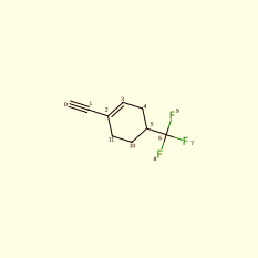 C#CC1=CCC(C(F)(F)F)CC1